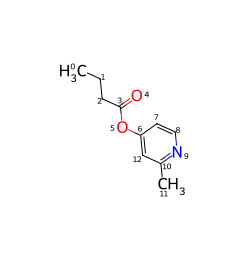 CCCC(=O)Oc1ccnc(C)c1